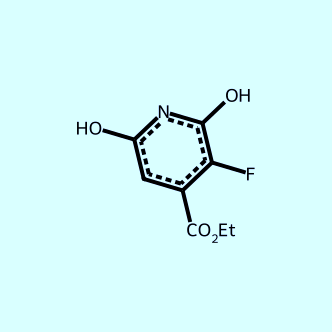 CCOC(=O)c1cc(O)nc(O)c1F